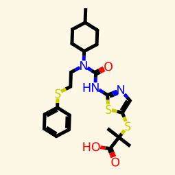 CC1CCC(N(CCSc2ccccc2)C(=O)Nc2ncc(SC(C)(C)C(=O)O)s2)CC1